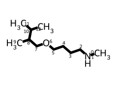 CNCCCCOCC(C)C(C)C